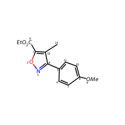 CCOC(=O)c1onc(-c2ccc(OC)cc2)c1C